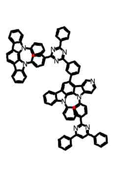 c1ccc(-c2cc(-c3ccccc3)nc(-c3ccc(-n4c5ccncc5c5c(-c6cccc(-c7nc(-c8ccccc8)nc(-c8ccc(-n9c%10ccccc%10c%10ccc%11c%12ccccc%12n(-c%12ccccc%12)c%11c%109)cc8)n7)c6)cc6c7ccccc7n(-c7ccccc7)c6c54)cc3)n2)cc1